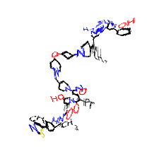 Cc1ncsc1-c1ccc([C@H](C)NC(=O)[C@@H]2C[C@@H](O)CN2C(=O)[C@@H](c2cc(N3CCC(CN4CCC(OC5CC(N6CCC([C@H](C)c7cnn(-c8cc(-c9ccccc9O)nnc8N)c7)CC6)C5)CC4)CC3)no2)C(C)C)cc1